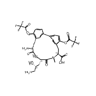 CN1C(=O)[C@H](C[C@@H](O)CN)NC(=O)[C@@H](N)Cc2cc(ccc2OC(=O)C(F)(F)F)-c2ccc(OC(=O)C(F)(F)F)c(c2)C[C@H]1C(=O)O